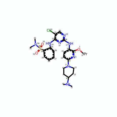 CC(C)Oc1nc(N2CCC(N(C)C)CC2)ccc1Nc1ncc(Cl)c(Nc2ccccc2S(=O)(=O)N(C)C)n1